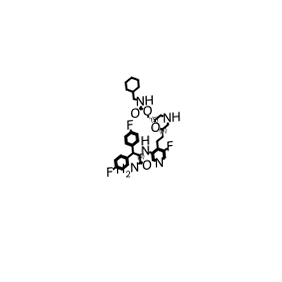 NC(=O)[C@@H](Nc1cncc(F)c1CC[C@@H]1CNC[C@@H](COC(=O)NCC2CCCCC2)O1)C(c1ccc(F)cc1)c1ccc(F)cc1